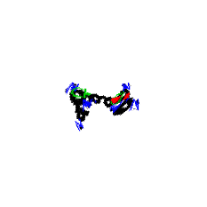 Cc1cc(N(C)C)ccc1[N+](C)(c1ccc(N(C)C)cc1C)c1ccc(Cc2ccc([N+](C)(c3ccc(N(C)C)cc3C)c3ccc(N(C)C)cc3C)c(Cl)c2)cc1Cl